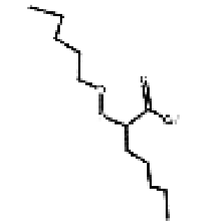 CCCCCOOC(CCCCC)C(=O)O